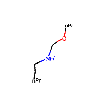 CCCCNCOCCC